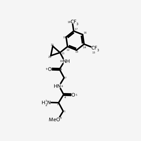 COCC(N)C(=O)NCC(=O)NC1(c2cc(C(F)(F)F)cc(C(F)(F)F)c2)CC1